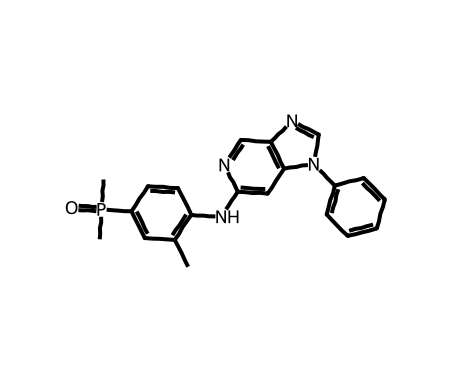 Cc1cc(P(C)(C)=O)ccc1Nc1cc2c(cn1)ncn2-c1ccccc1